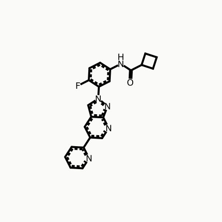 O=C(Nc1ccc(F)c(-n2cc3cc(-c4ccccn4)cnc3n2)c1)C1CCC1